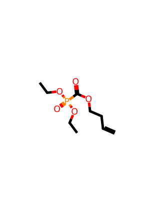 C=CCCOC(=O)P(=O)(OCC)OCC